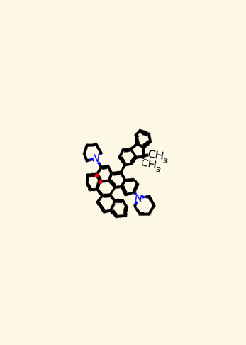 CC1(C)c2ccccc2-c2ccc(-c3c4cc(N5CCCCC5)ccc4c(-c4c(-c5ccccc5)ccc5ccccc45)c4cc(N5CCCCC5)ccc34)cc21